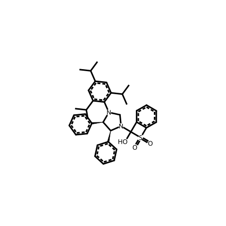 CC(C)c1cc(C(C)C)c(N2CN(C3(O)c4ccccc4S3(=O)=O)[C@@H](c3ccccc3)[C@H]2c2ccccc2)c(C(C)C)c1